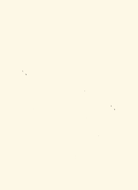 CCN(Cc1ccc(Cl)c(S(N)(=O)=O)c1)c1ccccc1